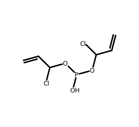 C=CC(Cl)OP(O)OC(Cl)C=C